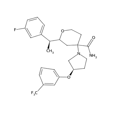 C[C@@H](c1cccc(F)c1)C1CC(C(N)=O)(N2CC[C@@H](Oc3cccc(C(F)(F)F)c3)C2)CCO1